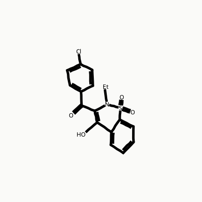 CCN1C(C(=O)c2ccc(Cl)cc2)=C(O)c2ccccc2S1(=O)=O